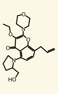 C=CCc1ccc(N2CCCC2CO)c2c(=O)c(OCC)c(N3CCOCC3)oc12